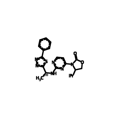 CC(C)C1COC(=O)N1c1ccnc(N[C@@H](C)c2nnc(-c3ccccc3)s2)n1